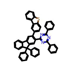 c1ccc(-c2nc(-c3ccccc3)nc(-c3cc4c(cc3-c3ccc5sc6ccccc6c5c3)-c3ccccc3C4(c3ccccc3)c3ccccc3)n2)cc1